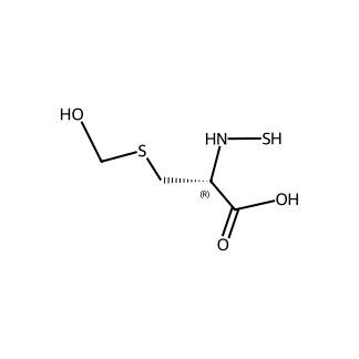 O=C(O)[C@H](CSCO)NS